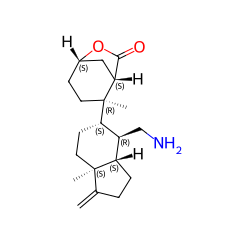 C=C1CC[C@H]2[C@H](CN)[C@@H]([C@@]3(C)CC[C@H]4C[C@@H]3C(=O)O4)CC[C@]12C